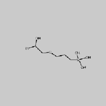 CCC(O)COCCC[Si](O)(O)O